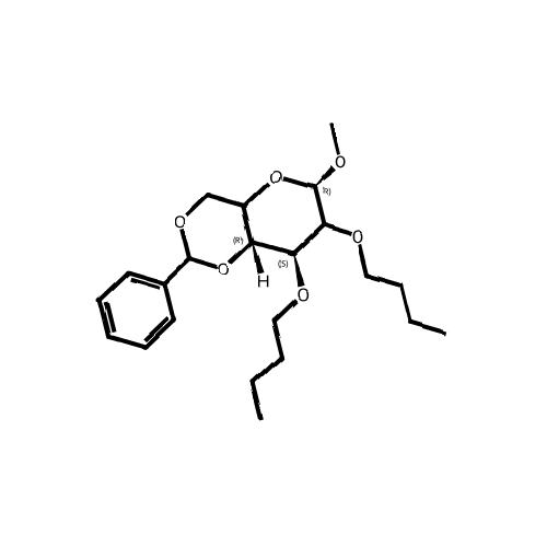 CCCCOC1[C@H](OC)OC2COC(c3ccccc3)O[C@H]2[C@@H]1OCCCC